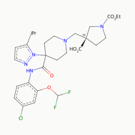 CCOC(=O)N1CC[C@@](CN2CCC(C(=O)Nc3ccc(Cl)cc3OC(F)F)(n3nccc3C(C)C)CC2)(C(=O)O)C1